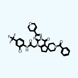 O=C(Cn1c2c(c(=O)n3nc(C4=CCOCC4)nc13)C1(CC2)CCN(C(=O)c2ccccc2)CC1)Nc1ccc(C(F)(F)F)cc1Cl